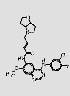 COc1cc2ncnc(Nc3ccc(F)c(Cl)c3)c2cc1NC(=O)C=CCN1CCC2OCCC21